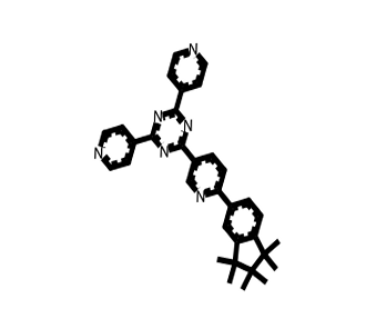 CC1(C)c2ccc(-c3ccc(-c4nc(-c5ccncc5)nc(-c5ccncc5)n4)cn3)cc2C(C)(C)C1(C)C